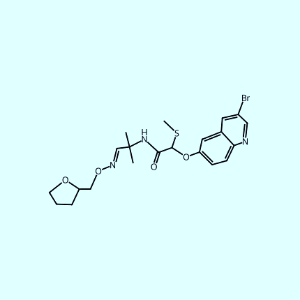 CSC(Oc1ccc2ncc(Br)cc2c1)C(=O)NC(C)(C)C=NOCC1CCCO1